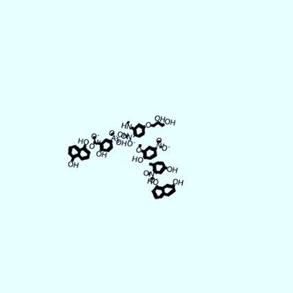 CNc1cc(OCC(O)CO)ccc1[N+](=O)[O-].COc1cc([N+](=O)[O-])ccc1O.Cc1ccc(O)cc1[N+](=O)[O-].O=[N+]([O-])c1cc([As](=O)(O)O)ccc1O.Oc1ccc2cccc(O)c2c1.Oc1cccc2c(O)cccc12